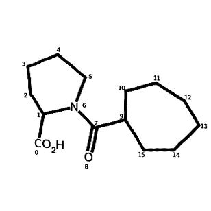 O=C(O)C1CCCCN1C(=O)C1CCCCCC1